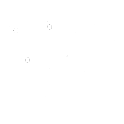 O=C1Oc2ccc(cc2)Cc2ccc(cc2)O1